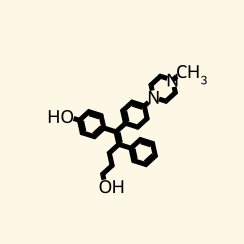 CN1CCN(C2=CC=C(/C(=C(/CCCO)c3ccccc3)c3ccc(O)cc3)CC2)CC1